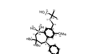 CCCCC1(CCCC)CN(c2ccccc2)c2cc(OC)c(CSC(C)(C)C(=O)O)cc2S(O)(O)C1